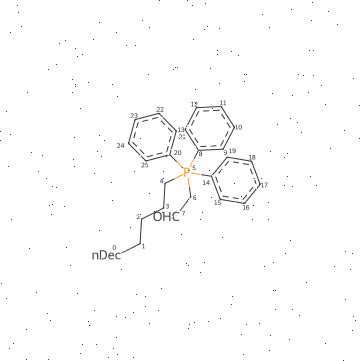 CCCCCCCCCCCCCCP(CC=O)(c1ccccc1)(c1ccccc1)c1ccccc1